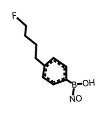 O=NB(O)c1ccc(CCCCF)cc1